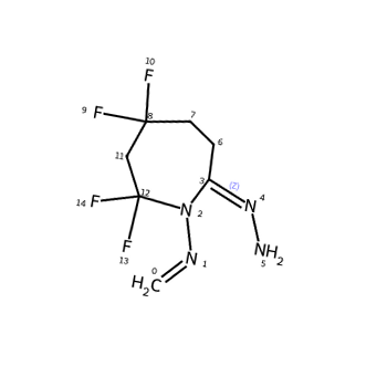 C=NN1/C(=N\N)CCC(F)(F)CC1(F)F